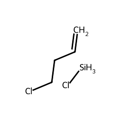 C=CCCCl.[SiH3]Cl